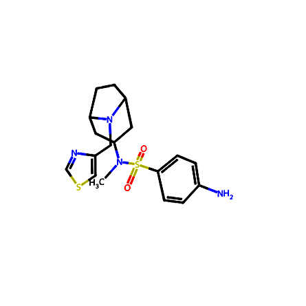 CN(C1CC2CCC(C1)N2Cc1cscn1)S(=O)(=O)c1ccc(N)cc1